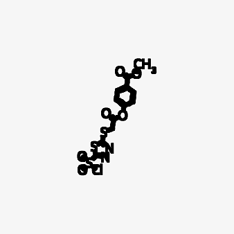 COC(=O)c1ccc(OC(=O)CSc2nnc(S(=O)(=O)Cl)s2)cc1